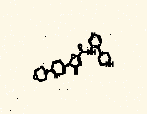 O=C(Nc1cnccc1N1CCNCC1)C1=NNC(c2ccc(N3CCOCC3)nc2)O1